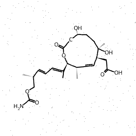 C/C(=C\C=C\[C@@H](C)COC(N)=O)[C@H]1OC(=O)C[C@H](O)CC[C@@](C)(O)[C@@H](CC(=O)O)/C=C/[C@@H]1C